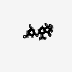 O=C1c2c(ccc(Oc3cc(F)cc(Cl)c3)c2C(F)F)C(F)(F)C1(F)F